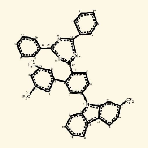 FC(F)(F)c1cc(-c2cc(-n3c4ccccc4c4ccc(C(F)(F)F)cc43)ccc2-c2nc(-c3ccccc3)nc(-c3ccccc3)n2)cc(C(F)(F)F)c1